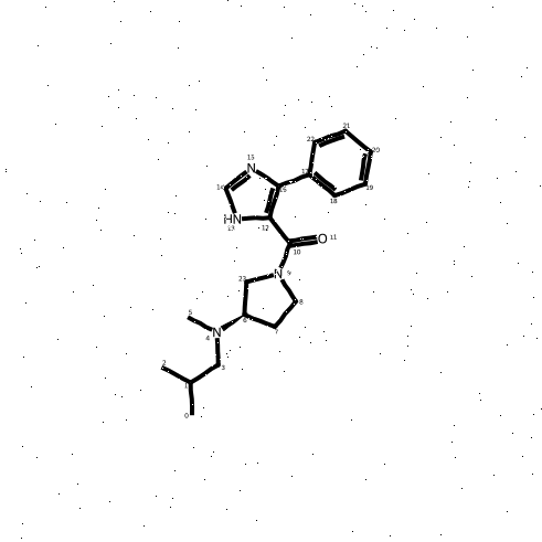 CC(C)CN(C)[C@@H]1CCN(C(=O)c2[nH]cnc2-c2ccccc2)C1